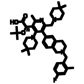 Cc1cc(F)ccc1CN1CCc2cc(-c3c(CN4CCC(C)(C)CC4)nc(C)c([C@H](OC(C)(C)C)C(=O)O)c3N3CCC(C)(C)CC3)ccc2C1